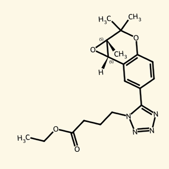 CCOC(=O)CCCn1nnnc1-c1ccc2c(c1)[C@@H]1O[C@]1(C)C(C)(C)O2